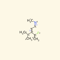 C=C(F)/C(=C\C=N/C)C(C)C